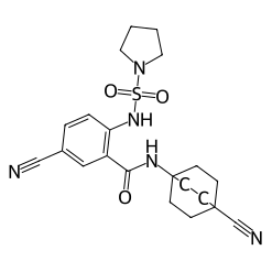 N#Cc1ccc(NS(=O)(=O)N2CCCC2)c(C(=O)NC23CCC(C#N)(CC2)CC3)c1